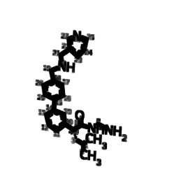 CC(C)C[C@@H](C(=O)NCN)c1cccc(-c2ccc(CNCc3cccnc3)cc2)c1